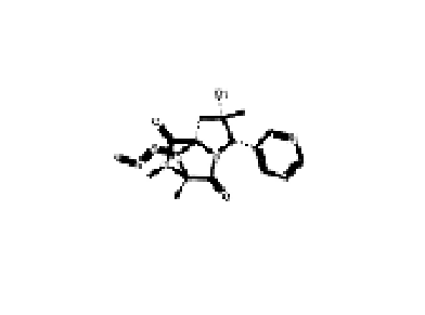 CN1C(=O)[C@@]23C[C@](C)(C#N)[C@H](c4cccnc4)N2C(=O)[C@@]1(C)S3=S=S=S